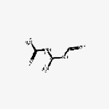 NC(=O)NC(N)NC=O